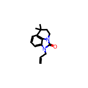 C=CCn1c(=O)n2c3c(cccc31)C(C)(C)CC2